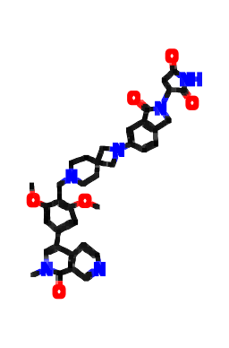 COc1cc(-c2cn(C)c(=O)c3cnccc23)cc(OC)c1CN1CCC2(CC1)CN(c1ccc3c(c1)C(=O)N(C1CC(=O)NC1=O)C3)C2